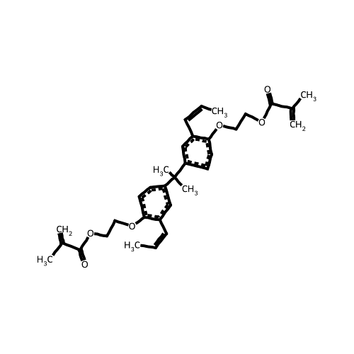 C=C(C)C(=O)OCCOc1ccc(C(C)(C)c2ccc(OCCOC(=O)C(=C)C)c(/C=C\C)c2)cc1/C=C\C